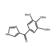 COc1cc(C(=O)c2c[nH]cn2)cc(OC)c1OC